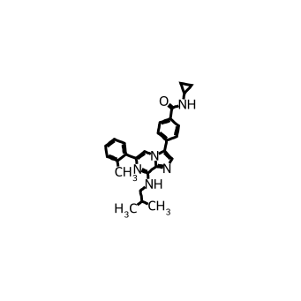 Cc1ccccc1-c1cn2c(-c3ccc(C(=O)NC4CC4)cc3)cnc2c(NCC(C)C)n1